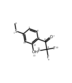 CSc1ccc(C(=O)C(F)(F)F)c(O)c1